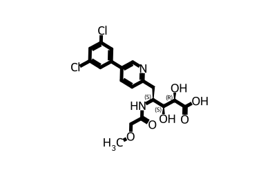 COCC(=O)N[C@@H](Cc1ccc(-c2cc(Cl)cc(Cl)c2)cn1)[C@H](O)[C@@H](O)C(=O)O